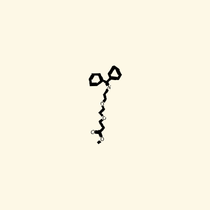 COC(=O)CCOCCOCCN=C(c1ccccc1)c1ccccc1